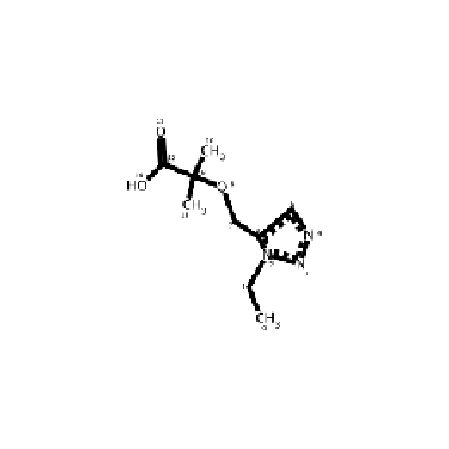 CCn1nncc1COC(C)(C)C(=O)O